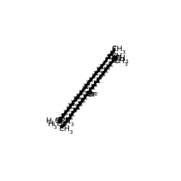 CCCCCCCCCCCCCCCCCCCCCCCCCCCCCCCCCCCCCCCCCCC[P+](C)(C)C.CCCCCCCCCCCCCCCCCCCCCCCCCCCCCCCCCCCCCCCCCC[P+](C)(C)C.[Br-].[Br-]